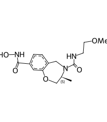 COCCNC(=O)N1Cc2ccc(C(=O)NO)cc2OC[C@@H]1C